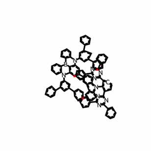 c1ccc(-c2cc(-c3ccccc3)cc(N3c4ccccc4B4c5ccccc5N(c5cc(-c6ccccc6)cc(-c6ccccc6)c5)c5cc(-c6ccc7c(c6)c6ccccc6n7-c6c(-c7nc(-c8ccccc8)nc(-c8ccccc8)n7)cccc6-c6nc(-c7ccccc7)nc(-c7ccccc7)n6)cc3c54)c2)cc1